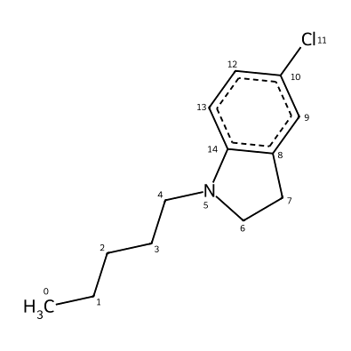 CCCCCN1CCc2cc(Cl)ccc21